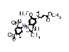 COC(=O)CCNc1cc(NC(C)=O)c(/N=N/c2cc(F)c([N+](=O)[O-])cc2[N+](=O)[O-])cc1OC